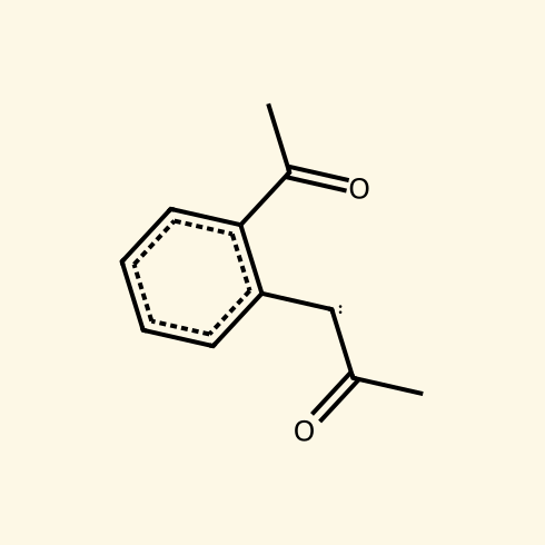 CC(=O)[C]c1ccccc1C(C)=O